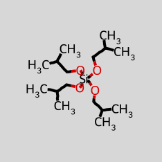 CC(C)CO[Si](OCC(C)C)(OCC(C)C)OCC(C)C